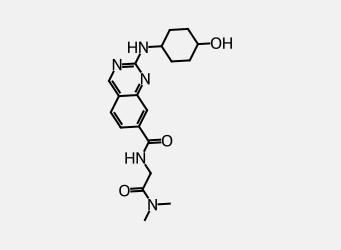 CN(C)C(=O)CNC(=O)c1ccc2cnc(NC3CCC(O)CC3)nc2c1